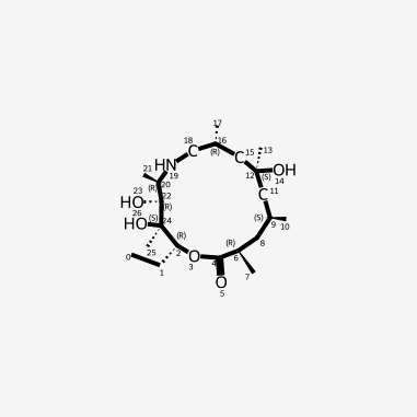 CC[C@H]1OC(=O)[C@H](C)C[C@H](C)C[C@](C)(O)C[C@@H](C)CN[C@H](C)[C@@H](O)[C@]1(C)O